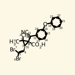 CC1(C)[C@H](C=C(Br)Br)[C@@]1(C(=O)O)[C@@H](C#N)c1cccc(Oc2ccccc2)c1